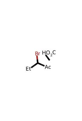 CC(=O)O.CCC(Br)C(C)=O